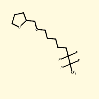 FC(F)(F)C(F)(F)C(F)(F)CCCCCOCC1CCCO1